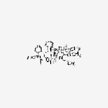 C=CCN(C(=O)OC(C)(C)C)C1=N[C@@H]2[C@@H](c3ccccc3C(=O)O)[C@@H](c3ccccc3C(=O)O)[C@@H](C(F)F)O[C@@H]2S1